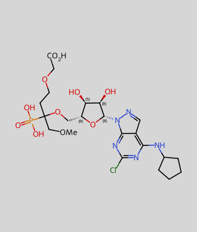 COCC(CCOCC(=O)O)(OC[C@H]1O[C@@H](n2ncc3c(NC4CCCC4)nc(Cl)nc32)[C@H](O)[C@@H]1O)P(=O)(O)O